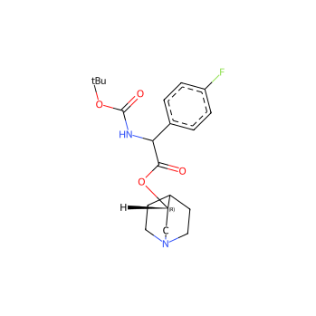 CC(C)(C)OC(=O)NC(C(=O)O[C@H]1CN2CCC1CC2)c1ccc(F)cc1